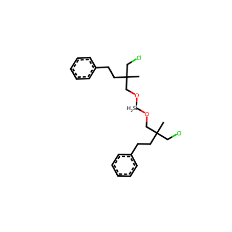 CC(CCl)(CCc1ccccc1)CO[SiH2]OCC(C)(CCl)CCc1ccccc1